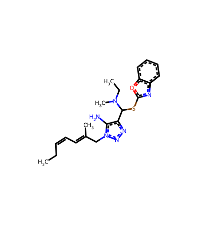 CC/C=C\C=C(/C)Cn1nnc(C(Sc2nc3ccccc3o2)N(C)CC)c1N